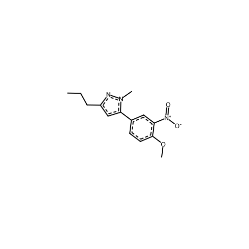 CCCc1cc(-c2ccc(OC)c([N+](=O)[O-])c2)n(C)n1